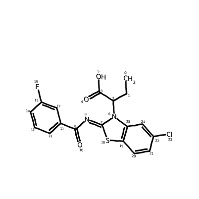 CCC(C(=O)O)n1c(=NC(=O)c2cccc(F)c2)sc2ccc(Cl)cc21